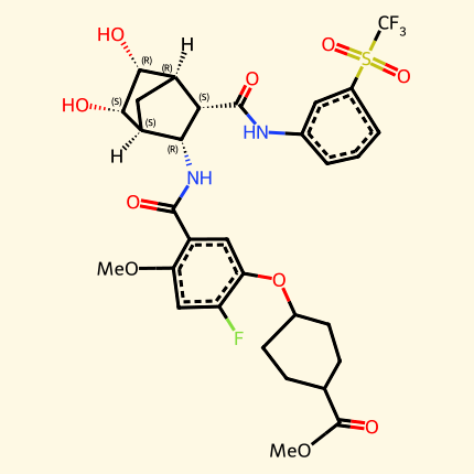 COC(=O)C1CCC(Oc2cc(C(=O)N[C@@H]3[C@@H]4C[C@@H]([C@@H](O)[C@H]4O)[C@@H]3C(=O)Nc3cccc(S(=O)(=O)C(F)(F)F)c3)c(OC)cc2F)CC1